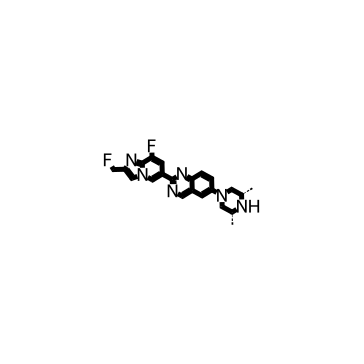 C[C@@H]1CN(c2ccc3nc(-c4cc(F)c5nc(CF)cn5c4)ncc3c2)C[C@H](C)N1